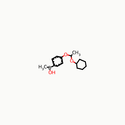 CB(O)c1ccc(OC(C)OC2CCCCC2)cc1